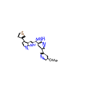 COc1cncc(-c2cnc3[nH]nc(-c4cc5c(-c6ccsc6)ccnc5[nH]4)c3c2)c1